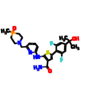 CC(C)(O)c1cc(F)c(-c2cc(C(N)=O)c(Nc3cccc(CN4CCP(C)(=O)CC4)n3)s2)c(F)c1